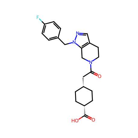 O=C(C[C@H]1CC[C@@H](C(=O)O)CC1)N1CCc2cnn(Cc3ccc(F)cc3)c2C1